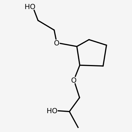 CC(O)COC1CCCC1OCCO